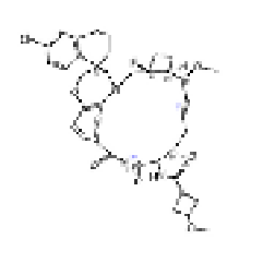 COC1CN(C(=O)NC2[C@@H](C)C/C=C/[C@H](OC)[C@@H]3CC[C@H]3CN3C[C@@]4(CCCc5cc(Cl)ccc54)COc4ccc(nc43)C(=O)/N=[SH]\2=O)C1